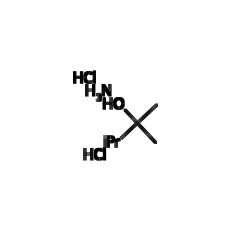 CC(C)C(C)(C)O.Cl.Cl.N